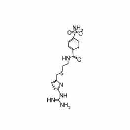 N=C(N)Nc1nc(CSCCNC(=O)c2ccc(S(N)(=O)=O)cc2)cs1